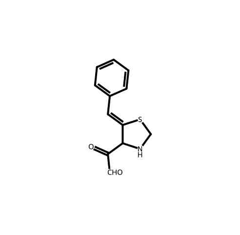 O=CC(=O)C1NCSC1=Cc1ccccc1